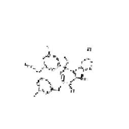 COP(=O)(c1cc(C)cc(CC#N)c1)c1c(C(=O)NCc2ccc[n+](C)c2)[nH]c2ccc(Cl)cc12